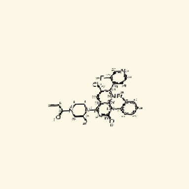 C=CC(=O)N1CCN(c2nc(=O)n(-c3ccccc3C(C)C)c3nc(-c4ccncc4F)c(Cl)cc23)C(C)C1